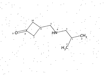 CC(C)CNCC1CC(=O)C1